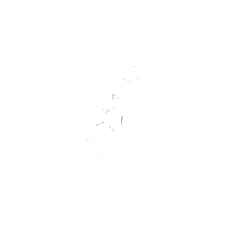 CCOC(CC)(CC)C(=O)ONc1ccn([C@@H]2O[C@H](CO)[C@@H](O)[C@H]2O)c(=O)n1